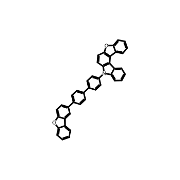 c1ccc2c(c1)oc1ccc(-c3ccc(-c4ccc(-n5c6ccccc6c6c7c(ccc65)oc5ccccc57)cc4)cc3)cc12